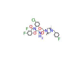 C[C@@H]1CN(Cc2ccc(F)cc2)[C@@H](C)CN1C(=O)COc1ccc(Cl)cc1N(C(=O)CN)C(=O)c1cccc(F)c1F